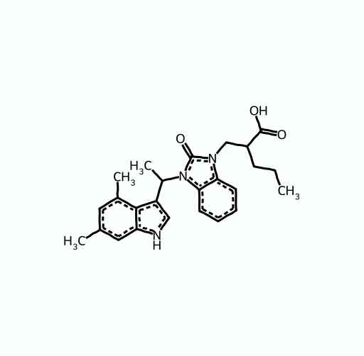 CCCC(Cn1c(=O)n(C(C)c2c[nH]c3cc(C)cc(C)c23)c2ccccc21)C(=O)O